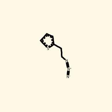 [N-]=[N+]=NCCc1cccs1